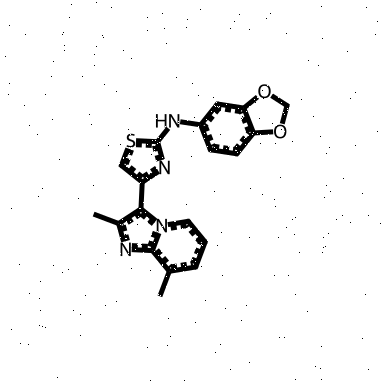 Cc1nc2c(C)cccn2c1-c1csc(Nc2ccc3c(c2)OCO3)n1